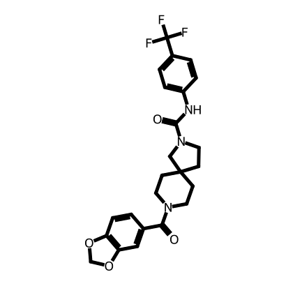 O=C(Nc1ccc(C(F)(F)F)cc1)N1CCC2(CCN(C(=O)c3ccc4c(c3)OCO4)CC2)C1